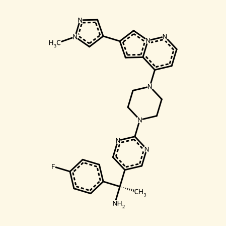 Cn1cc(-c2cc3c(N4CCN(c5ncc([C@@](C)(N)c6ccc(F)cc6)cn5)CC4)ccnn3c2)cn1